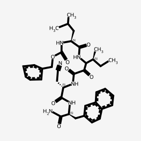 CC[C@H](C)C(NC(=O)[C@H](CC(C)C)NC(=O)OCc1ccccc1)C(=O)C(=O)N[C@@H](CC#N)C(=O)N[C@@H](Cc1ccc2ccccc2c1)C(N)=O